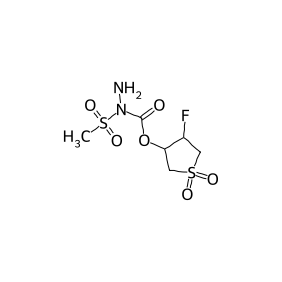 CS(=O)(=O)N(N)C(=O)OC1CS(=O)(=O)CC1F